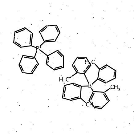 Cc1ccccc1[B-](c1ccccc1C)(c1ccccc1C)c1ccccc1C.c1ccc([P+](c2ccccc2)(c2ccccc2)c2ccccc2)cc1